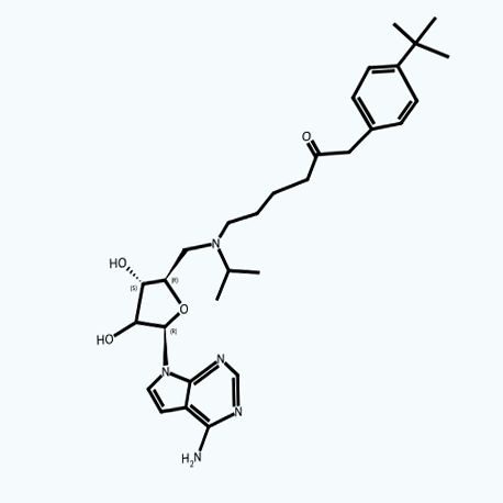 CC(C)N(CCCCC(=O)Cc1ccc(C(C)(C)C)cc1)C[C@H]1O[C@@H](n2ccc3c(N)ncnc32)C(O)[C@@H]1O